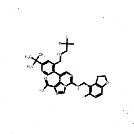 CC(C)(C)c1cc(CNCC(F)(F)F)c(-c2cnc(NCc3c(F)ccc4c3CCO4)n3cnc(C(=O)O)c23)cn1